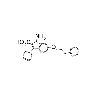 NC1C(C(=O)O)=C(c2ccccc2)c2ccc(OCCCc3ccccc3)cc21